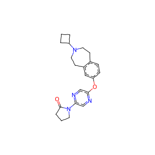 O=C1CCCN1c1cnc(Oc2ccc3c(c2)CCN(C2CCC2)CC3)cn1